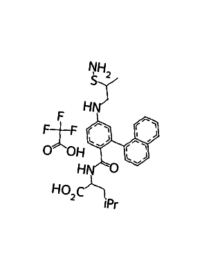 CC(C)CC(NC(=O)c1ccc(NCC(C)SN)cc1-c1cccc2ccccc12)C(=O)O.O=C(O)C(F)(F)F